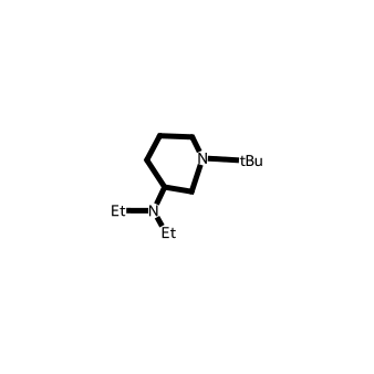 CCN(CC)C1CCCN(C(C)(C)C)C1